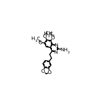 COc1cc2c(CCc3ccc4c(c3)OCO4)nc(N)nc2c(OC)c1OC